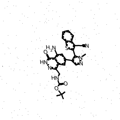 Cn1ncc(-c2cc(N)c3c(=O)[nH]nc(CNC(=O)OC(C)(C)C)c3c2)c1-c1sc2ccccc2c1C#N